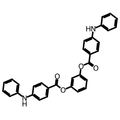 O=C(Oc1cccc(OC(=O)c2ccc(Nc3ccccc3)cc2)c1)c1ccc(Nc2ccccc2)cc1